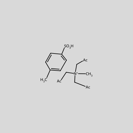 CC(=O)C[N+](C)(CC(C)=O)CC(C)=O.Cc1ccc(S(=O)(=O)O)cc1